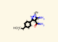 CC(C)n1nc(-c2ccc(CC(=O)O)cc2)c(C(N)=O)c1N